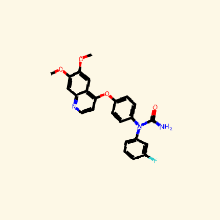 COc1cc2nccc(Oc3ccc(N(C(N)=O)c4cccc(F)c4)cc3)c2cc1OC